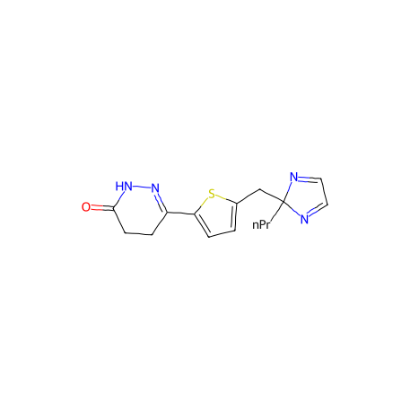 CCCC1(Cc2ccc(C3=NNC(=O)CC3)s2)N=CC=N1